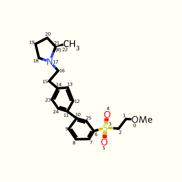 COCCS(=O)(=O)c1cccc(-c2ccc(CCN3CCC[C@H]3C)cc2)c1